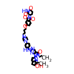 C=CCn1c(=O)c2cnc(Nc3ccc(N4CCN(CCCCOc5ccc6c(c5)C(=O)N(C5CCC(=O)NC5=O)C6=O)CC4)cc3)nc2n1-c1ccc2c(n1)[C@@](O)(CC)CC2